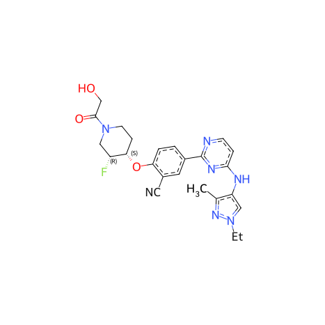 CCn1cc(Nc2ccnc(-c3ccc(O[C@H]4CCN(C(=O)CO)C[C@H]4F)c(C#N)c3)n2)c(C)n1